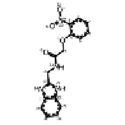 O=C(COc1ccccc1[N+](=O)[O-])NCc1nc2ccccc2[nH]1